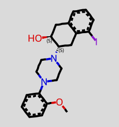 COc1ccccc1N1CCN([C@H]2Cc3c(I)cccc3C[C@@H]2O)CC1